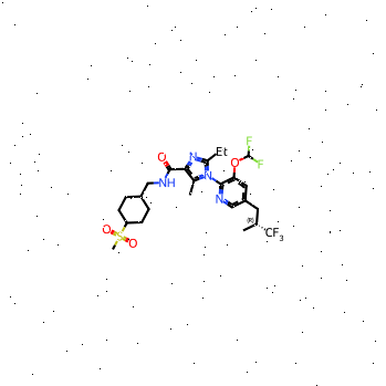 CCc1nc(C(=O)NCC2CCC(S(C)(=O)=O)CC2)c(C)n1-c1ncc(C[C@@H](C)C(F)(F)F)cc1OC(F)F